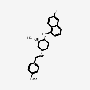 COc1ccc(CN[C@H]2CC[C@@H](Nc3ccnc4cc(Cl)ccc34)CC2)cc1.Cl.Cl